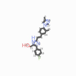 Cc1cn(-c2ccc(/C=C/c3nc(-c4ccc(F)cc4)c(CO)[nH]3)cc2C)cn1